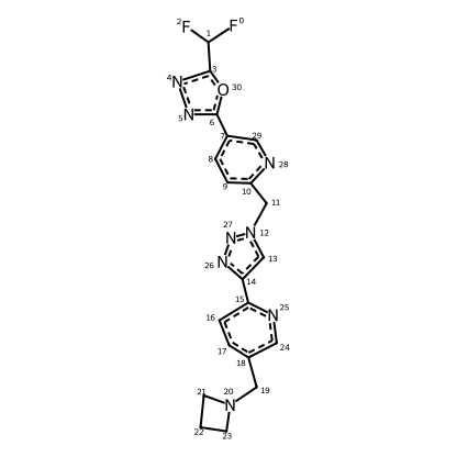 FC(F)c1nnc(-c2ccc(Cn3cc(-c4ccc(CN5CCC5)cn4)nn3)nc2)o1